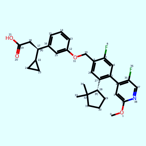 COc1cc(-c2cc(F)c(COc3cccc([C@H](CC(=O)O)C4CC4)c3)cc2[C@@H]2CCCC2(C)C)c(F)cn1